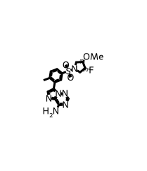 CO[C@@H]1CN(S(=O)(=O)c2ccc(C)c(-c3cnc4c(N)ncnn34)c2)C[C@H]1F